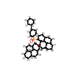 O=P(c1ccc(-c2ccccc2)cc1)(c1ccc2ccc3cccc4ccc1c2c34)c1ccc2ccc3cccc4ccc1c2c34